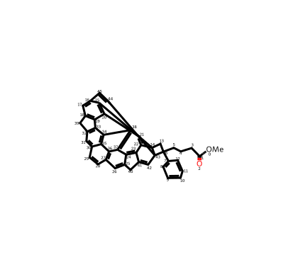 COC(=O)CCCC1(c2ccccc2)CC23c4c5cc6c7c4c4c2c2c8c(cc9ccc%10cc(c7c7c%10c9c8c47)C6)CC2=CC13C=C5